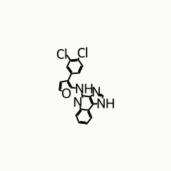 Clc1ccc(-c2ccoc2Nc2nc3ccccc3c3[nH]cnc23)cc1Cl